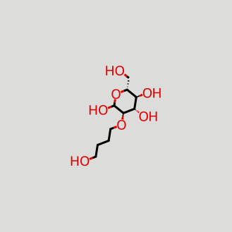 OCCCCO[C@H]1C(O)O[C@H](CO)[C@@H](O)[C@@H]1O